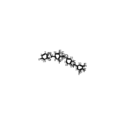 Cc1ccc2nc(-c3cc(F)c(C(F)(F)Oc4ccc5nc(-c6cc(F)c(F)c(F)c6)sc5c4)c(F)c3)sc2c1